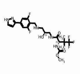 COC(=O)N[C@H](C(=O)NC[C@@H](O)CNCc1c(F)cc(-c2cc[nH]n2)cc1F)C(C)(C)C(F)(F)F